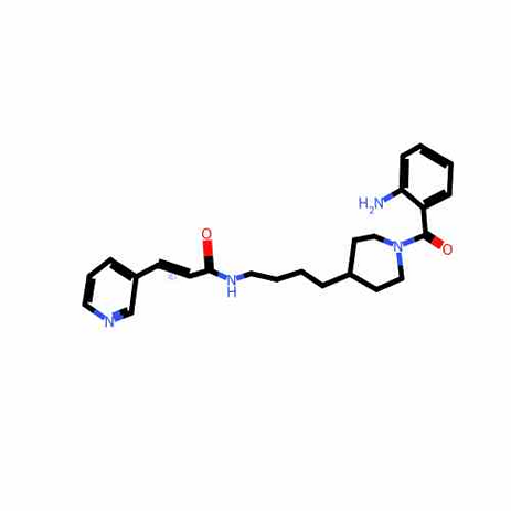 Nc1ccccc1C(=O)N1CCC(CCCCNC(=O)/C=C/c2cccnc2)CC1